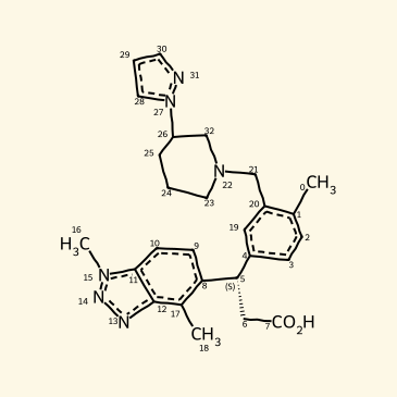 Cc1ccc([C@H](CC(=O)O)c2ccc3c(nnn3C)c2C)cc1CN1CCCC(n2cccn2)C1